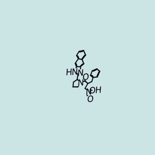 O=CN(O)CC(Cc1ccccc1)C(=O)N1CCCC1c1nc2cc3ccccc3cc2[nH]1